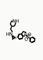 O=S(=O)(c1ccccc1)N1CCc2cc([C@@H]3C[C@H]3NCCC3CCNCC3)ccc21